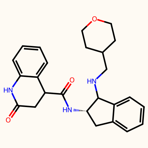 O=C1CC(C(=O)N[C@H]2Cc3ccccc3C2NCC2CCOCC2)c2ccccc2N1